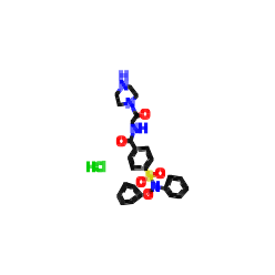 Cl.O=C(NCC(=O)N1CCNCC1)c1ccc(S(=O)(=O)N(Oc2ccccc2)c2ccccc2)cc1